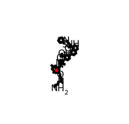 Cc1c(-c2ccc(-c3ccc4c(c3)N(C(=O)Nc3nc5ccccc5s3)CCC4)nc2C(=O)O)cnn1CC12CC3(C)CC(C)(C1)CC(OCCN(C)CCCN)(C3)C2